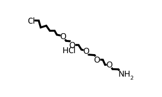 Cl.NCCOCCOCCOCCOCCOCCCCCCCl